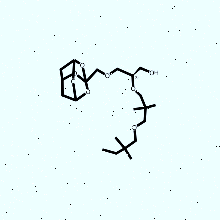 CCC(C)(C)COCC(C)(C)CO[C@H](CO)COCC12OC3CC(CC(C3)O1)O2